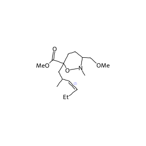 CC/C=C\C(C)CC1(C(=O)OC)CCC(COC)N(C)O1